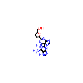 NC1=NC(C2CC[C@@H](CO)O2)=NC2=NC=NC12c1nc(N)c2[nH]cnc2n1